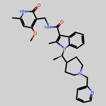 COc1cc(C)[nH]c(=O)c1CNC(=O)c1c(C)n([C@H](C)C2CCN(Cc3ccccn3)CC2)c2ccccc12